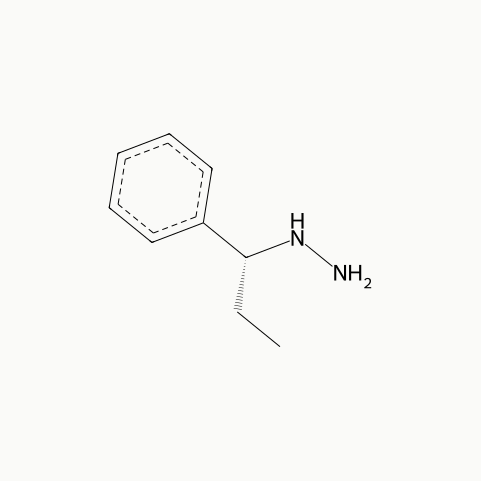 CC[C@@H](NN)c1ccccc1